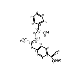 COC(=O)c1ccc(C[C@H](C)NC[C@@H](O)c2ccccc2)cc1